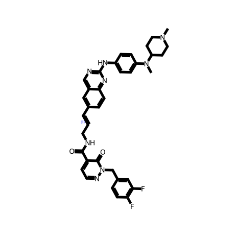 CN1CCC(N(C)c2ccc(Nc3ncc4cc(/C=C/CNC(=O)c5ccnn(Cc6ccc(F)c(F)c6)c5=O)ccc4n3)cc2)CC1